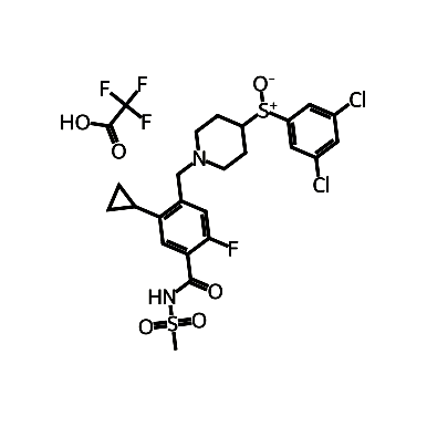 CS(=O)(=O)NC(=O)c1cc(C2CC2)c(CN2CCC([S+]([O-])c3cc(Cl)cc(Cl)c3)CC2)cc1F.O=C(O)C(F)(F)F